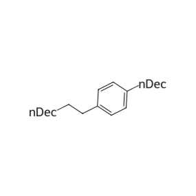 CCCCCCCCCCCCc1ccc(CCCCCCCCCC)cc1